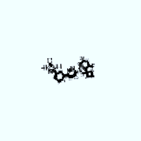 O=c1[nH]nc(-c2cccc(-c3ccc(NCC4(c5ncccc5F)CCC4)nn3)c2)[nH]1